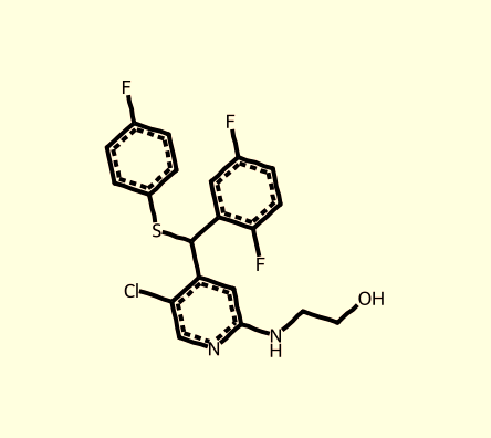 OCCNc1cc(C(Sc2ccc(F)cc2)c2cc(F)ccc2F)c(Cl)cn1